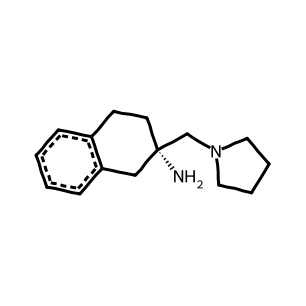 N[C@@]1(CN2CCCC2)CCc2ccccc2C1